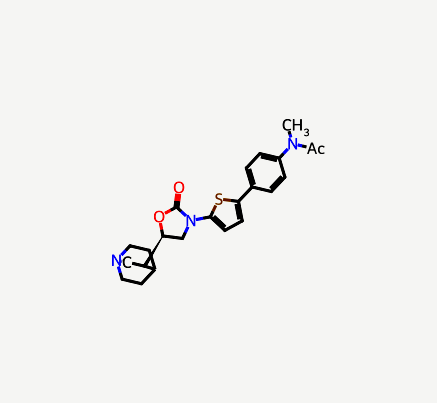 CC(=O)N(C)c1ccc(-c2ccc(N3C[C@@H](C4CN5CCC4CC5)OC3=O)s2)cc1